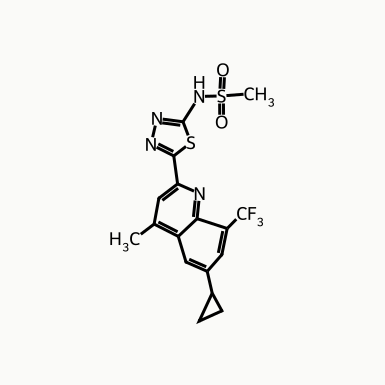 Cc1cc(-c2nnc(NS(C)(=O)=O)s2)nc2c(C(F)(F)F)cc(C3CC3)cc12